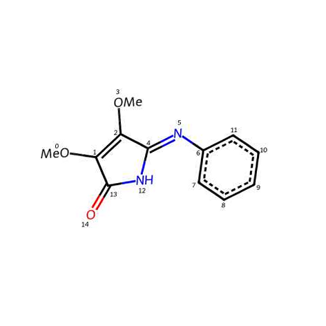 COC1=C(OC)/C(=N/c2ccccc2)NC1=O